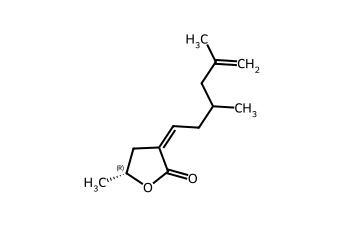 C=C(C)CC(C)CC=C1C[C@@H](C)OC1=O